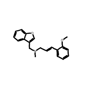 COc1ccccc1/C=C/CN(C)Cc1coc2ccccc12